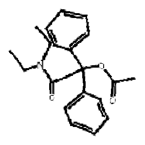 CCN(CC)C(=O)C(OC(C)=O)(c1ccccc1)c1ccccc1